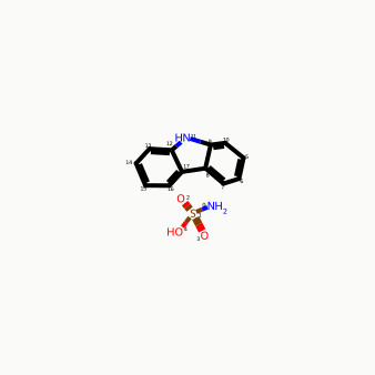 NS(=O)(=O)O.c1ccc2c(c1)[nH]c1ccccc12